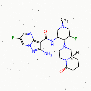 CN1CC(F)C(N2CCN3C(=O)CCC[C@H]3C2)C(NC(=O)c2c(N)nn3cc(F)cnc23)C1